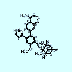 COc1cc(-c2cc[nH]n2)c(-c2ccc3c(N)cnnc3c2)cc1B1O[C@@H]2C[C@@H]3C[C@@H](C3(C)C)[C@]2(C)O1